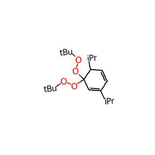 CC(C)C1=CC(OOC(C)(C)C)(OOC(C)(C)C)C(C(C)C)C=C1